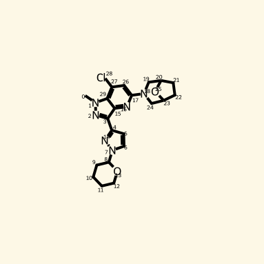 Cn1nc(-c2ccn(C3CCCCO3)n2)c2nc(N3CC4CCC(C3)O4)cc(Cl)c21